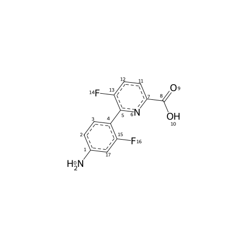 Nc1ccc(-c2nc(C(=O)O)ccc2F)c(F)c1